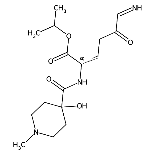 CC(C)OC(=O)[C@H](CCC(=O)C=N)NC(=O)C1(O)CCN(C)CC1